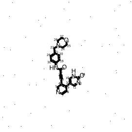 O=C(C#Cc1cnccc1-c1cnc(=O)[nH]c1)Nc1ccc(CN2CCOCC2)cc1